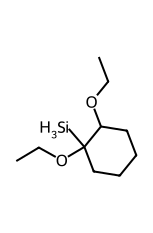 CCOC1CCCCC1([SiH3])OCC